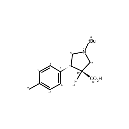 Cc1ccc([C@@H]2CN(C(C)(C)C)C[C@@]2(F)C(=O)O)cc1